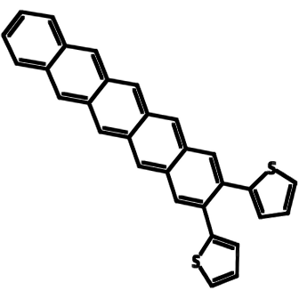 c1csc(-c2cc3cc4cc5cc6ccccc6cc5cc4cc3cc2-c2cccs2)c1